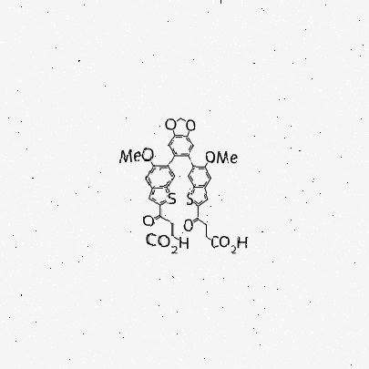 COc1cc2cc(C(=O)CCC(=O)O)sc2cc1-c1cc2c(cc1-c1cc3sc(C(=O)CCC(=O)O)cc3cc1OC)OCO2